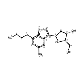 Nc1nc(OCCO)c2ncn([C@H]3C[C@H](O)[C@@H](CO)O3)c2n1